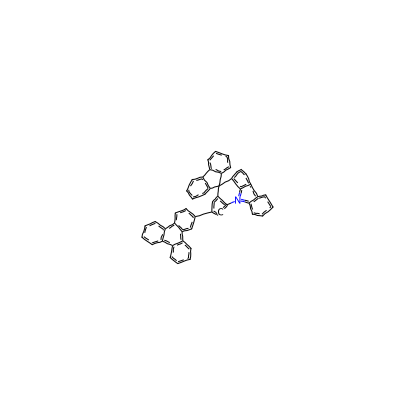 c1ccc2c(c1)-c1ccccc1C21c2cc(-c3ccc4c5ccccc5c5ccccc5c4c3)ccc2-n2c3ccccc3c3cccc1c32